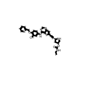 CCNC(=O)O[C@@H]1CN[C@H](C#Cc2cc3ncnc(Nc4ccc(OCc5ccccn5)c(Cl)c4)c3s2)C1